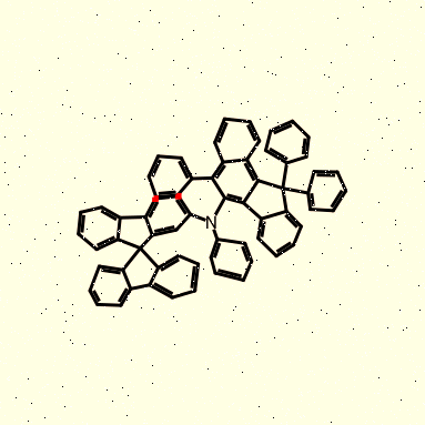 c1ccc(-c2c(N(c3ccccc3)c3ccc4c(c3)C3(c5ccccc5-c5ccccc53)c3ccccc3-4)c3c(c4ccccc24)C(c2ccccc2)(c2ccccc2)c2ccccc2-3)cc1